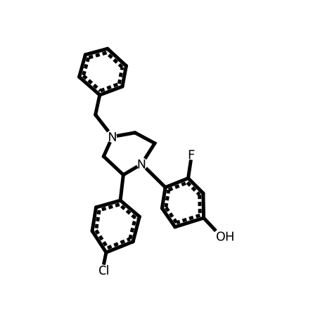 Oc1ccc(N2CCN(Cc3ccccc3)CC2c2ccc(Cl)cc2)c(F)c1